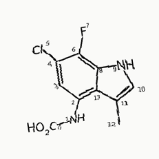 O=C(O)Nc1cc(Cl)c(F)c2[nH]cc(I)c12